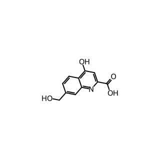 O=C(O)c1cc(O)c2ccc(CO)cc2n1